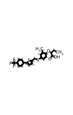 CCC(Oc1ccc(SCc2ccc(-c3ccc(C(F)(F)F)cc3)s2)cc1C)C(=O)O